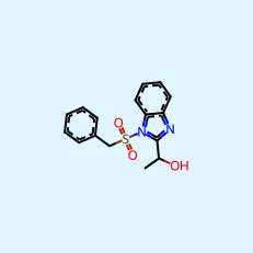 CC(O)c1nc2ccccc2n1S(=O)(=O)Cc1ccccc1